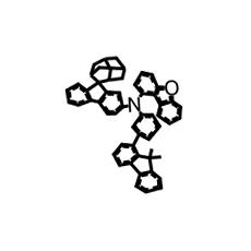 CC1(C)c2ccccc2-c2cccc(-c3cccc(N(c4ccc5c(c4)C4(c6ccccc6-5)C5CC6CC(C5)CC4C6)c4cccc5oc6ccccc6c45)c3)c21